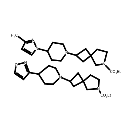 CCOC(=O)N1CCC2(CC(N3CCC(c4ccon4)CC3)C2)C1.CCOC(=O)N1CCC2(CC(N3CCC(n4ccc(C)n4)CC3)C2)C1